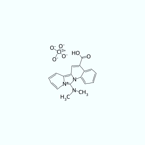 CN(C)c1n2c3ccccc3c(C(=O)O)cc2c2cccc[n+]12.[O-][Cl+3]([O-])([O-])[O-]